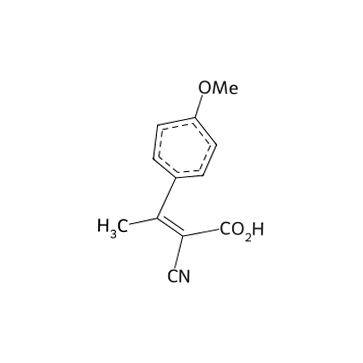 COc1ccc(C(C)=C(C#N)C(=O)O)cc1